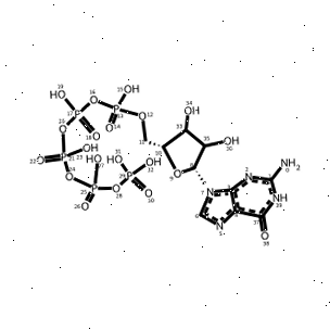 Nc1nc2c(ncn2[C@@H]2O[C@H](COP(=O)(O)OP(=O)(O)OP(=O)(O)OP(=O)(O)OP(=O)(O)O)C(O)C2O)c(=O)[nH]1